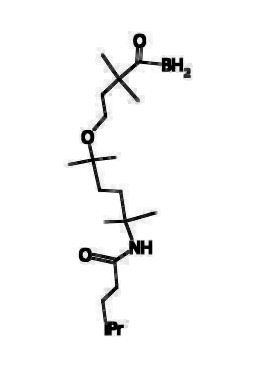 BC(=O)C(C)(C)CCOC(C)(C)CCC(C)(C)NC(=O)CCC(C)C